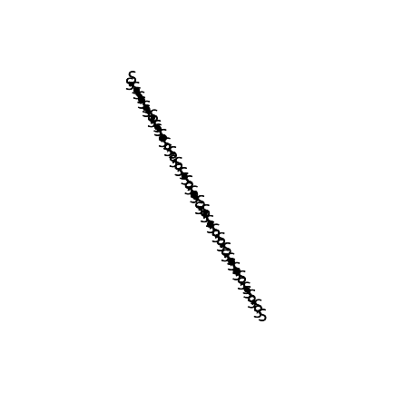 S=S=S=S=S=S=S=S=S=S=S=S=S=S=S=S=S=S=S=S=S=S=S=S=S=S=S=S=S=S=S=S=S=S=S=S=S=S=S=S=S=S=S=S=S=S=S=S=S=S=S